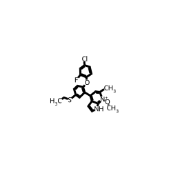 CCSc1ccc(Oc2ccc(Cl)cc2F)c(-c2cc(C)[n+](OC)c3[nH]ccc23)c1